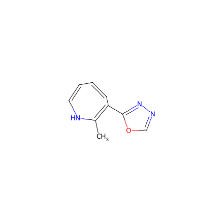 CC1=C(c2nnco2)C=CC=CN1